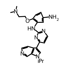 CC(C)n1cc(-c2ccnc(Nc3cc(N)ccc3OCCN(C)C)n2)c2ccncc21